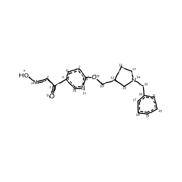 O=C(C=NO)c1ccc(OCC2CCN(Cc3ccccc3)C2)nc1